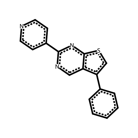 c1ccc(-c2csc3nc(-c4ccncc4)ncc23)cc1